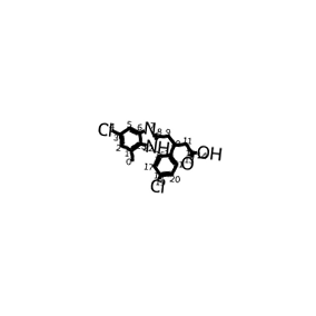 Cc1cc(Cl)cc2nc(CC(CC(=O)O)c3ccc(Cl)cc3)[nH]c12